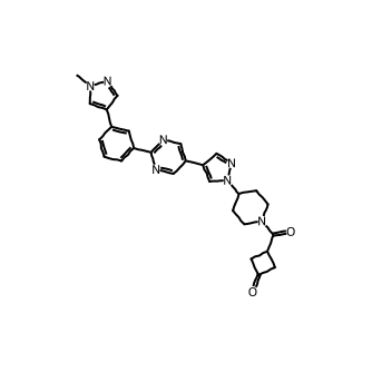 Cn1cc(-c2cccc(-c3ncc(-c4cnn(C5CCN(C(=O)C6CC(=O)C6)CC5)c4)cn3)c2)cn1